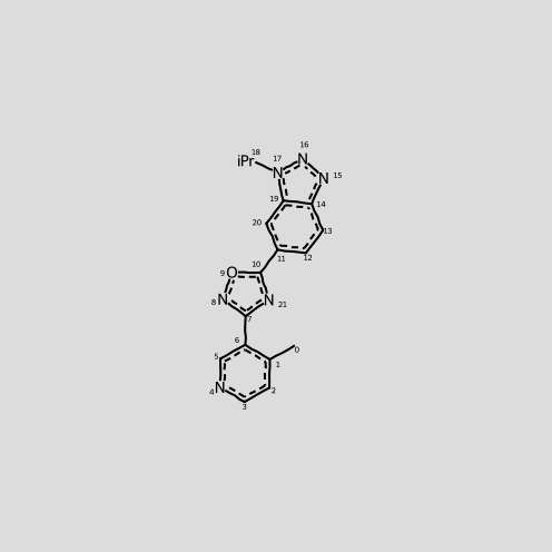 Cc1ccncc1-c1noc(-c2ccc3nnn(C(C)C)c3c2)n1